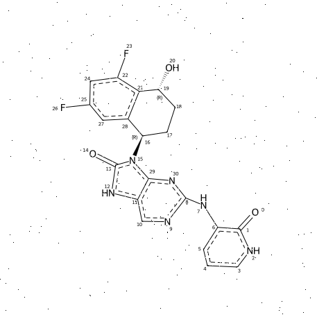 O=c1[nH]cccc1Nc1ncc2[nH]c(=O)n([C@@H]3CC[C@@H](O)c4c(F)cc(F)cc43)c2n1